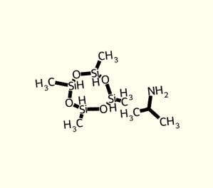 CC(C)N.C[SiH]1O[SiH](C)O[SiH](C)O[SiH](C)O1